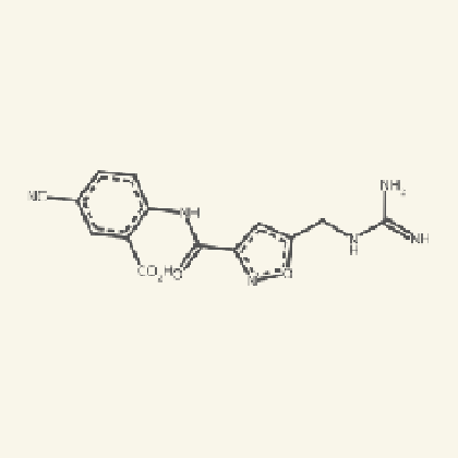 N#Cc1ccc(NC(=O)c2cc(CNC(=N)N)on2)c(C(=O)O)c1